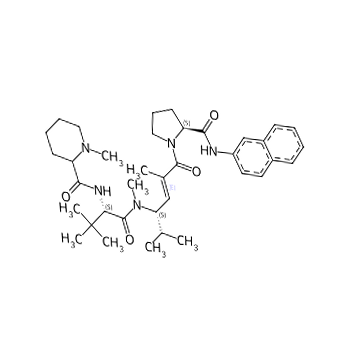 C/C(=C\[C@H](C(C)C)N(C)C(=O)[C@@H](NC(=O)C1CCCCN1C)C(C)(C)C)C(=O)N1CCC[C@H]1C(=O)Nc1ccc2ccccc2c1